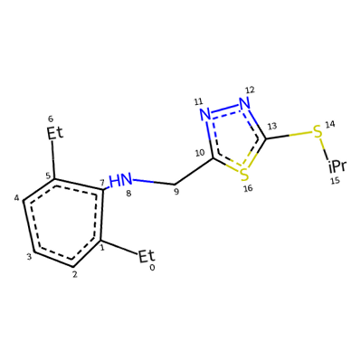 CCc1cccc(CC)c1NCc1nnc(SC(C)C)s1